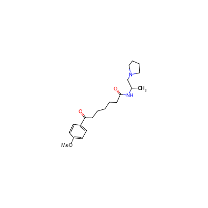 COc1ccc(C(=O)CCCCCC(=O)NC(C)CN2CCCC2)cc1